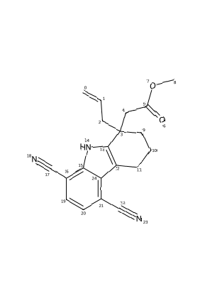 C=CCC1(CC(=O)OC)CCCc2c1[nH]c1c(C#N)ccc(C#N)c21